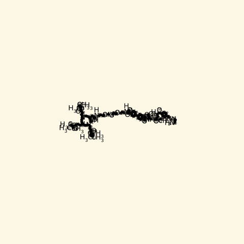 CN1c2cc(CNc3ncc[nH]3)ccc2C(=O)CC1C(=O)NCC(NS(=O)(=O)c1ccc(-c2ccc(S(=O)(=O)NCCCOCCOCCOCCCNC(=O)CC3CCN(CCC(=O)OC(C)(C)C)CCN(CCC(=O)OC(C)(C)C)CCN(CCC(=O)OC(C)(C)C)CN3)cc2)cc1)C(=O)O